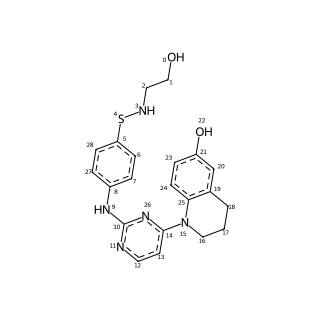 OCCNSc1ccc(Nc2nccc(N3CCCc4cc(O)ccc43)n2)cc1